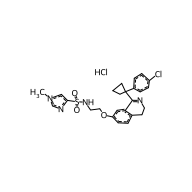 Cl.Cn1cnc(S(=O)(=O)NCCOc2ccc3c(c2)C(C2(c4ccc(Cl)cc4)CCC2)=NCC3)c1